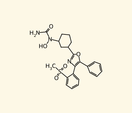 CS(=O)(=O)c1ccccc1-c1nc(C2CCCC(N(O)C(N)=O)C2)oc1-c1ccccc1